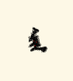 CC(C)(C)c1ccc(-n2c3ccc(-c4ccc(C5c6ccccc6-c6ccccc65)cc4)cc3c3cc(C4(c5ccc6c(c5)c5cc(C7(c8ccc9c(c8)c8cc(-c%10ccc(-n%11c%12ccccc%12c%12ccccc%12%11)cc%10)ccc8n9-c8ccc(C(C)(C)C)cc8)c8ccccc8-c8ccccc87)ccc5n6-c5ccc(C(C)(C)C)cc5)c5ccccc5-c5ccccc54)ccc32)cc1